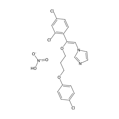 Clc1ccc(OCCCOC(=Cn2ccnc2)c2ccc(Cl)cc2Cl)cc1.O=[N+]([O-])O